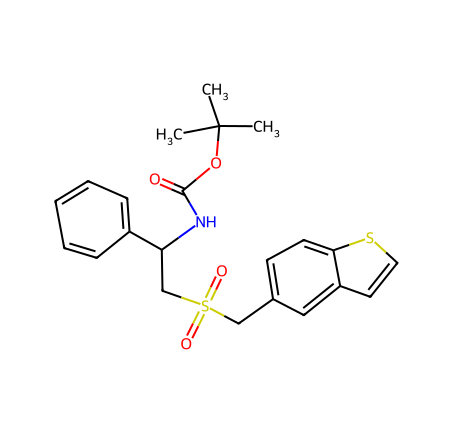 CC(C)(C)OC(=O)NC(CS(=O)(=O)Cc1ccc2sccc2c1)c1ccccc1